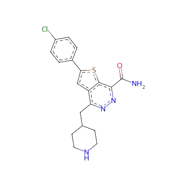 NC(=O)c1nnc(CC2CCNCC2)c2cc(-c3ccc(Cl)cc3)sc12